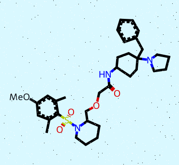 COc1cc(C)c(S(=O)(=O)N2CCCCC2COCC(=O)NC2CCC(Cc3ccccc3)(N3CCCC3)CC2)c(C)c1